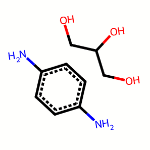 Nc1ccc(N)cc1.OCC(O)CO